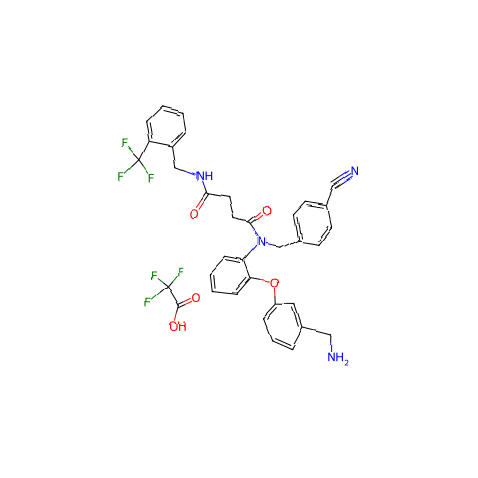 N#Cc1ccc(CN(C(=O)CCC(=O)NCc2ccccc2C(F)(F)F)c2ccccc2Oc2cccc(CN)c2)cc1.O=C(O)C(F)(F)F